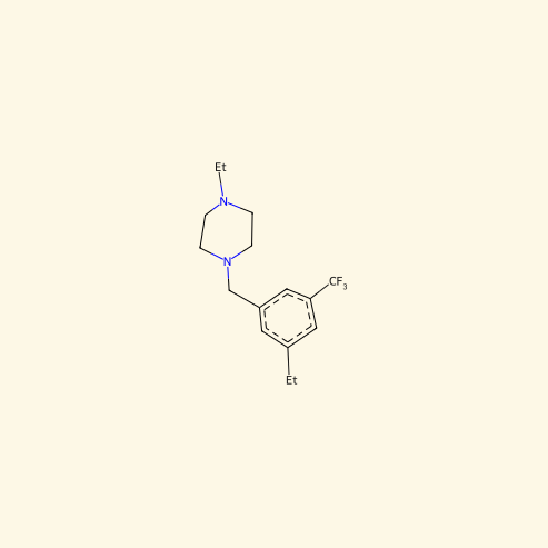 CCc1cc(CN2CCN(CC)CC2)cc(C(F)(F)F)c1